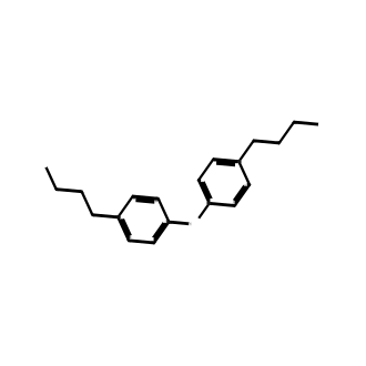 CCCCc1ccc(Oc2ccc(CCCC)cc2)cc1